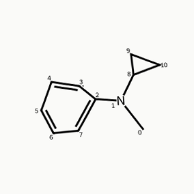 CN(c1[c]cccc1)C1CC1